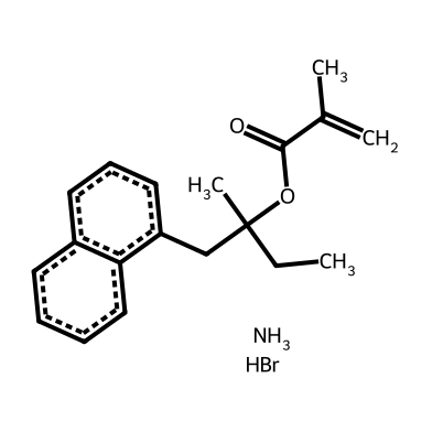 Br.C=C(C)C(=O)OC(C)(CC)Cc1cccc2ccccc12.N